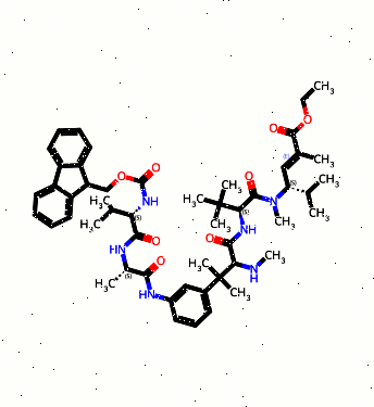 CCOC(=O)/C(C)=C/[C@H](C(C)C)N(C)C(=O)[C@@H](NC(=O)C(NC)C(C)(C)c1cccc(NC(=O)[C@H](C)NC(=O)[C@@H](NC(=O)OCC2c3ccccc3-c3ccccc32)C(C)C)c1)C(C)(C)C